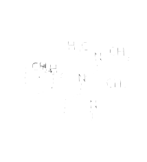 CC(N(C)C)N(CC1=CCC2CC1C2(C)C)c1ccccn1